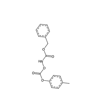 Cc1ccc(OC(=O)ONC(=O)OCc2ccccc2)cc1